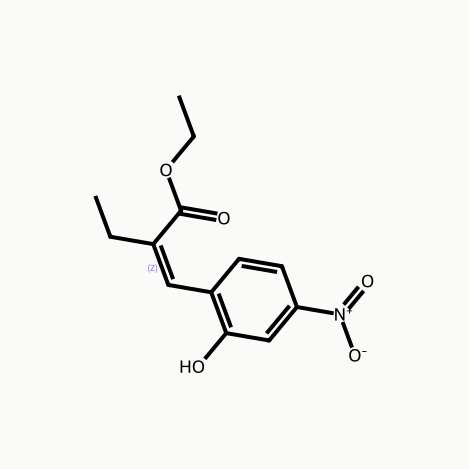 CCOC(=O)/C(=C\c1ccc([N+](=O)[O-])cc1O)CC